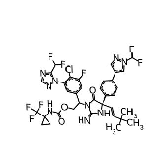 CC(C)(C)/C=C/[C@]1(c2ccc(-c3cnn(C(F)F)c3)cc2)NC(=N)N(C(COC(=O)NC2(C(F)(F)F)CC2)c2cc(F)c(Cl)c(-n3ncnc3C(F)F)c2)C1=O